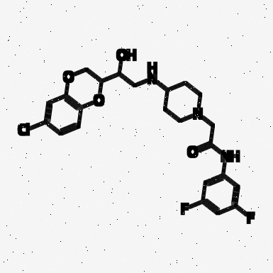 O=C(CN1CCC(NCC(O)C2COc3cc(Cl)ccc3O2)CC1)Nc1cc(F)cc(F)c1